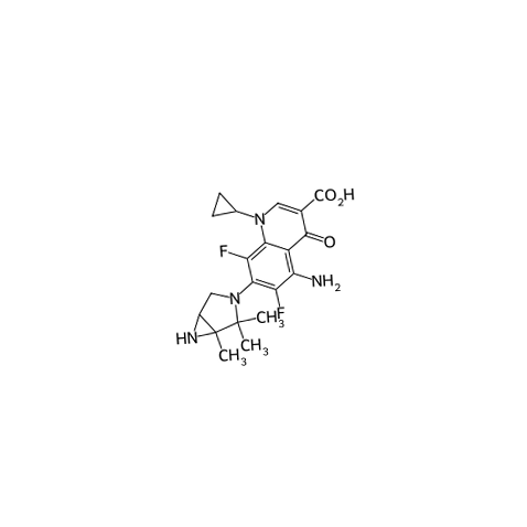 CC12NC1CN(c1c(F)c(N)c3c(=O)c(C(=O)O)cn(C4CC4)c3c1F)C2(C)C